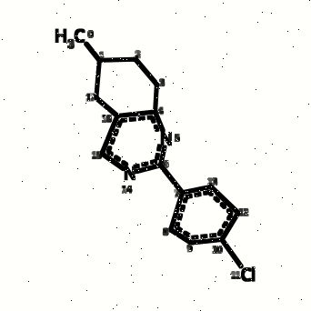 CC1CCc2nc(-c3ccc(Cl)cc3)ncc2C1